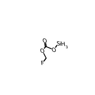 O=C(O[SiH3])OCF